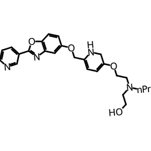 CCCN(CCO)CCOC1=CC=C(COc2ccc3oc(-c4cccnc4)nc3c2)NC1